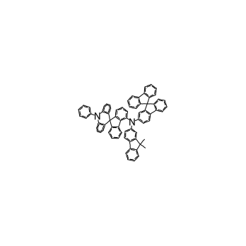 CC1(C)c2ccccc2-c2ccc(N(c3ccc4c(c3)C3(c5ccccc5-c5ccccc53)c3ccccc3-4)c3cccc4c3-c3ccccc3C43c4ccccc4N(c4ccccc4)c4ccccc43)cc21